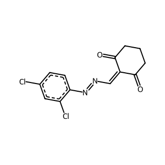 O=C1CCCC(=O)C1=CN=Nc1ccc(Cl)cc1Cl